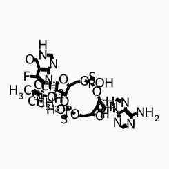 CC(C)(C)[Si](C)(C)OC1[C@@H]2OP(O)(=S)OCC3O[C@@H](n4cnc5c(N)ncnc54)[C@H](OP(O)(=S)OCC2O[C@H]1n1cc(F)c2c(=O)[nH]cnc21)[C@@H]3O